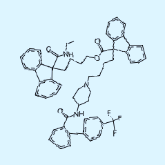 CCNC(=O)C1(CCCCOC(=O)C2(CCCCN3CCC(NC(=O)c4ccccc4-c4ccc(C(F)(F)F)cc4)CC3)c3ccccc3-c3ccccc32)c2ccccc2-c2ccccc21